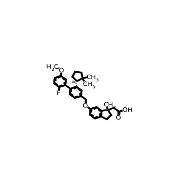 COc1ccc(F)c(-c2ccc(COc3ccc4c(c3)C(C)(CC(=O)O)CC4)cc2[C@@H]2CCCC2(C)C)c1